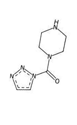 O=C(N1CCNCC1)n1ccnn1